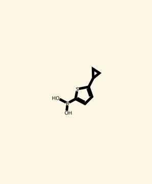 OB(O)c1ccc(C2CC2)s1